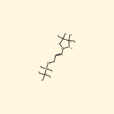 CC1(C)CB(/C=C/CO[Si](C)(C)C(C)(C)C)OC1(C)C